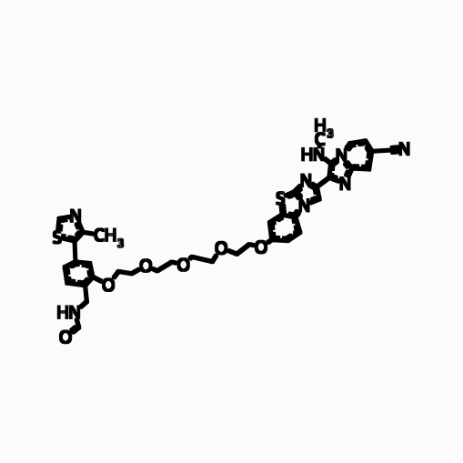 CNc1c(-c2cn3c(n2)sc2cc(OCCOCCOCCOCCOc4cc(-c5scnc5C)ccc4CNC=O)ccc23)nc2cc(C#N)ccn12